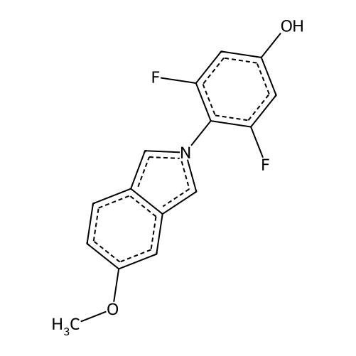 COc1ccc2cn(-c3c(F)cc(O)cc3F)cc2c1